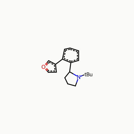 CC(C)(C)N1CCCC1c1ccccc1-c1ccoc1